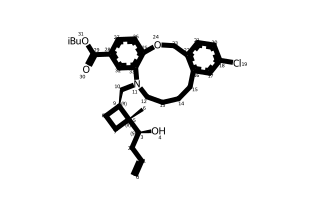 C=CC[C@H](O)[C@]1(C)CC[C@H]1CN1CCCCc2cc(Cl)ccc2COc2ccc(C(=O)OCC(C)C)cc21